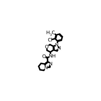 Cc1cccc(-n2ncc3c2COCC3NC(=O)c2ncn3c2CCCC3)c1Cl